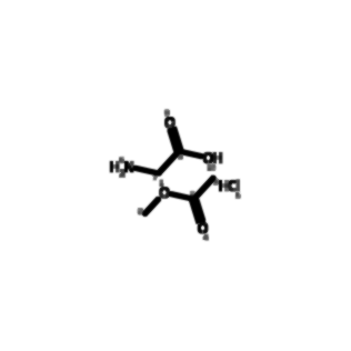 COC(C)=O.Cl.NCC(=O)O